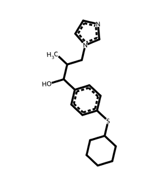 CC(Cn1ccnc1)C(O)c1ccc(SC2CCCCC2)cc1